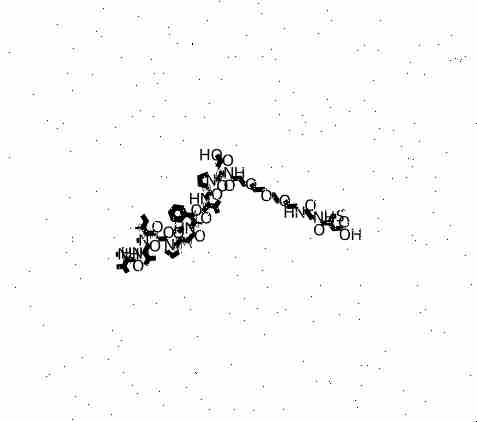 CC[C@H](C)[C@@H]([C@@H](CC(=O)N1CCC[C@H]1[C@H](OC)[C@@H](C)C(=O)N[C@H](C)[C@@H](OC(=O)[C@@H](NC(=O)[C@@H]1CCCN1C(=O)[C@H](CC(=O)O)NC(=O)CCOCCOCCOCCNC(=O)CNC(=O)C(CSC)CC(=O)O)C(C)C)c1ccccc1)OC)N(C)C(=O)[C@@H](NC(=O)[C@@H](NC)C(C)C)C(C)C